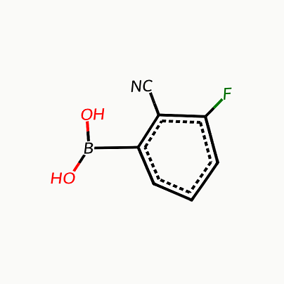 N#Cc1c(F)cccc1B(O)O